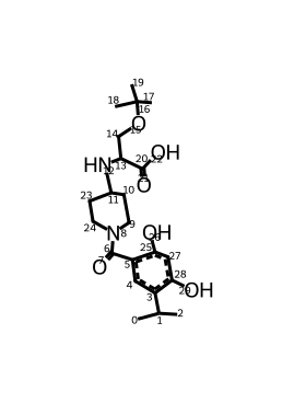 CC(C)c1cc(C(=O)N2CCC(NC(COC(C)(C)C)C(=O)O)CC2)c(O)cc1O